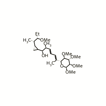 CC[C@H](OC)[C@@H](C)[C@H]1CC1[C@H](O)[C@@H](C)/C=C/C=C(\C)[C@H]1O[C@H](OC)[C@H](OC)[C@@H](OC)[C@@H]1OC